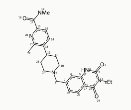 CCn1c(=O)[nH]c2cc(CN3CCC(c4ccc(C(=O)NC)nc4C)CC3)ccc2c1=O